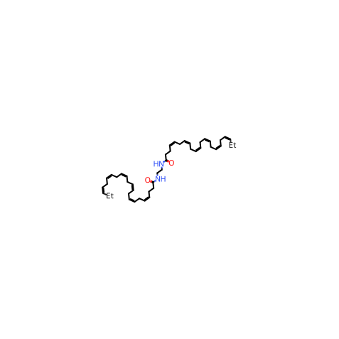 CC/C=C\C/C=C\C/C=C\C/C=C\C/C=C\C/C=C\CCC(=O)NCCNC(=O)CC/C=C\C/C=C\C/C=C\C/C=C\C/C=C\C/C=C\CC